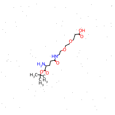 CC(C)(C)OC(=O)C(N)CCC(=O)NCCOCCOCCC(=O)O